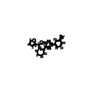 O=C(c1ccco1)N1CCCCC1c1nnn(-c2cccc(Br)c2)n1